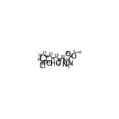 CCOC(=O)c1ncnn1C[C@@H](O)CCCc1cccc(Cl)c1Cl